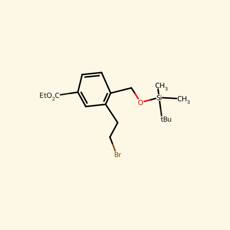 CCOC(=O)c1ccc(CO[Si](C)(C)C(C)(C)C)c(CCBr)c1